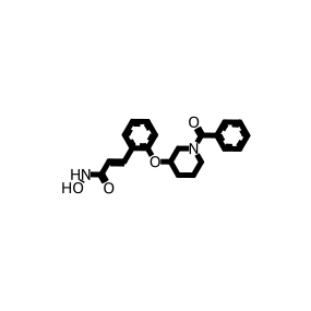 O=C(C=Cc1ccccc1OC1CCCN(C(=O)c2ccccc2)C1)NO